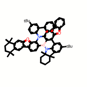 CC(C)(C)c1ccc(N2c3cc4c(oc5ccccc54)c4c3B(c3ccc5c(oc6cc7c(cc65)C(C)(C)CCC7(C)C)c32)N2c3c-4cc(C(C)(C)C)cc3C3(C)CCCCC23C)c(-c2ccccc2)c1